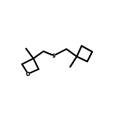 CC1(CSCC2(C)COC2)CCC1